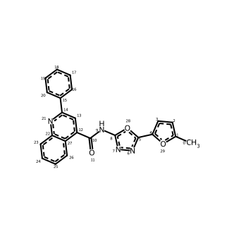 Cc1ccc(-c2nnc(NC(=O)c3cc(-c4ccccc4)nc4ccccc34)o2)o1